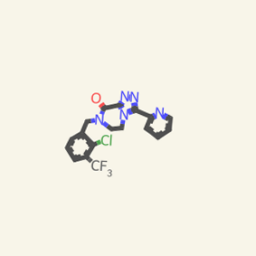 O=C1c2nnc(-c3ccccn3)n2CCN1Cc1cccc(C(F)(F)F)c1Cl